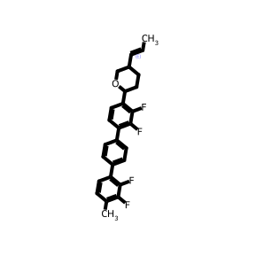 C/C=C/C1CCC(c2ccc(-c3ccc(-c4ccc(C)c(F)c4F)cc3)c(F)c2F)OC1